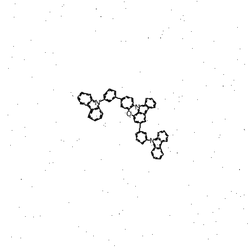 c1cc(-c2ccc3c(c2)Oc2cc(-c4cccc(-n5c6ccccc6c6ccccc65)c4)cc4c5ccccc5n-3c24)cc(-n2c3ccccc3c3ccccc32)c1